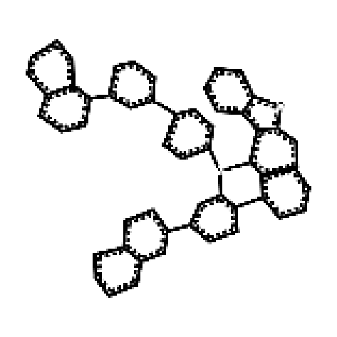 c1ccc(-c2ccc(-c3ccc4ccccc4c3)cc2N(c2ccc(-c3cccc(-c4cccc5ccccc45)c3)cc2)c2cccc3oc4ccccc4c23)cc1